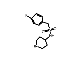 O=S(=O)(Cc1ccc(F)cc1)NC1CCNCC1